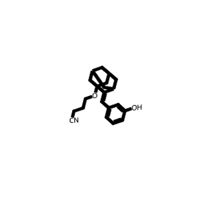 N#CCCCOC12CC3CC(CC(C3)C1=Cc1cccc(O)c1)C2